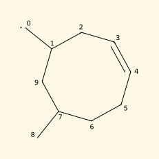 [CH2]C1CC=CCCC(C)C1